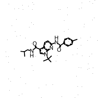 Cc1ccc(C(=O)Nc2ccc3c(C(=O)NCC(C)C)cn(C(C)(C)C)c3n2)cc1